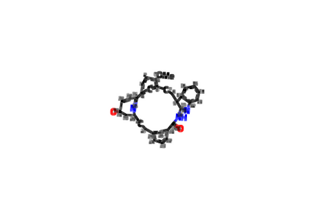 COc1ccc2cc1CCC1C(=Nc3ccccc31)NC(=O)c1cccc(c1)CCC1CC(=O)C=CC2=N1